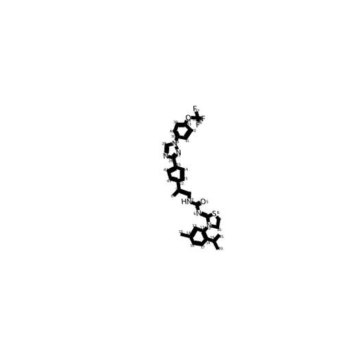 C/C(=C\NC(=O)/N=C1\SCCN1c1cc(C)ccc1C(C)C)c1ccc(-c2ncn(-c3ccc(OC(F)(F)F)cc3)n2)cc1